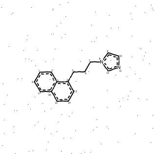 c1ccc2c(CCCn3ccnc3)cccc2c1